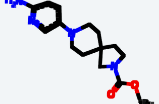 CC(C)(C)OC(=O)N1CCC2(CCN(c3ccc(N)nc3)CC2)C1